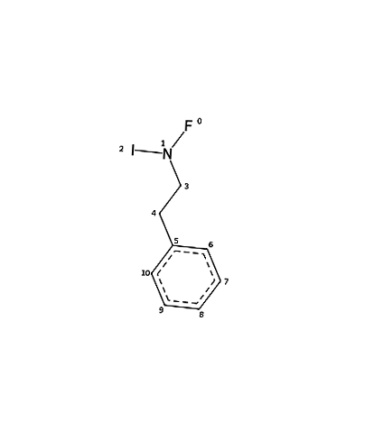 FN(I)CCc1ccccc1